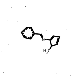 CC1C=CC=C1/N=C/c1ccccc1